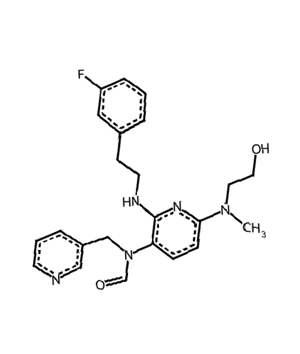 CN(CCO)c1ccc(N(C=O)Cc2cccnc2)c(NCCc2cccc(F)c2)n1